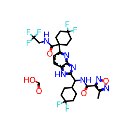 Cc1nonc1C(=O)NC(c1nc2nc(C3(C(=O)NCC(F)(F)F)CCC(F)(F)CC3)ccc2[nH]1)C1CCC(F)(F)CC1.O=CO